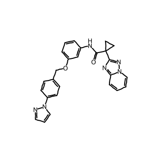 O=C(Nc1cccc(OCc2ccc(-n3cccn3)cc2)c1)C1(c2nc3ccccn3n2)CC1